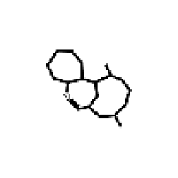 CC1CCCC(C)C2CC(C=NC3CCCCCC32)C1